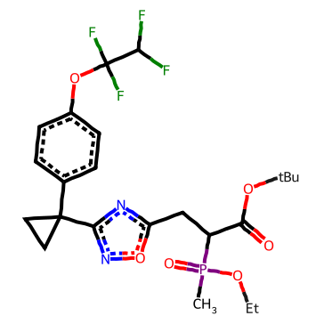 CCOP(C)(=O)C(Cc1nc(C2(c3ccc(OC(F)(F)C(F)F)cc3)CC2)no1)C(=O)OC(C)(C)C